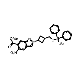 COC(=O)c1cc2nn(C3CC(CO[Si](c4ccccc4)(c4ccccc4)C(C)(C)C)C3)cc2cc1[N+](=O)[O-]